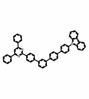 c1ccc(-c2cc(-c3ccccc3)nc(-c3ccc(-c4cccc(-c5ccc(-c6ccc(-n7c8ccccc8c8ccccc87)cc6)cc5)c4)cc3)n2)cc1